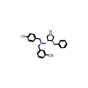 N#Cc1cccc(CN(Cc2ccc(Cl)cc2)C[C@@H]2CNC[C@H]2Cc2ccccc2)c1